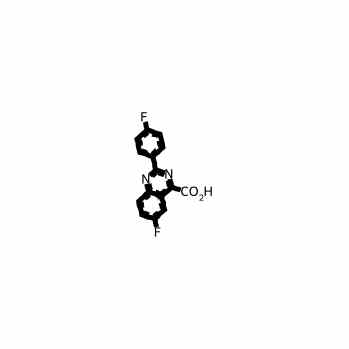 O=C(O)c1nc(-c2ccc(F)cc2)nc2ccc(F)cc12